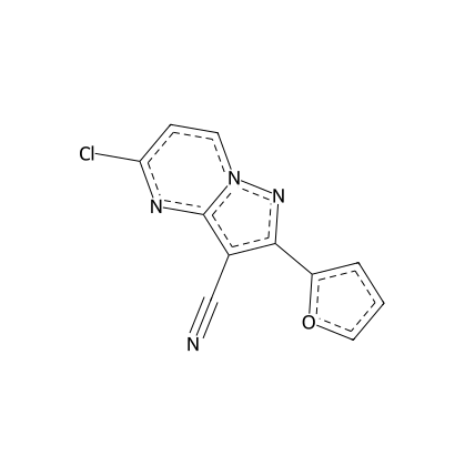 N#Cc1c(-c2ccco2)nn2ccc(Cl)nc12